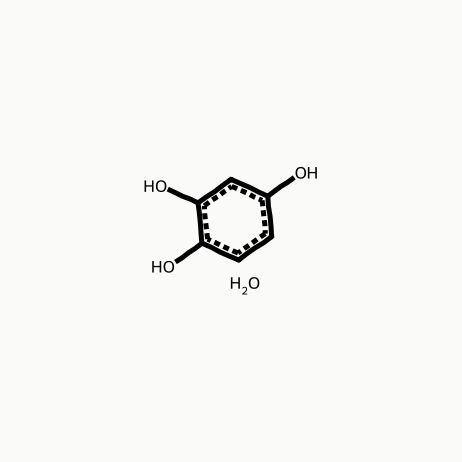 O.Oc1ccc(O)c(O)c1